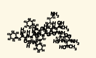 C[C@@H](O)[C@H](NC(=O)[C@H](CS)NC(=O)[C@@H](NC(=O)[C@H](CCCCN)NC(=O)[C@@H](Cc1c[nH]c2ccccc12)NC(=O)[C@H](Cc1ccccc1)NC(=O)[C@H](CS)NC(=O)[C@H](N)Cc1ccccc1)[C@@H](C)O)C(N)=O